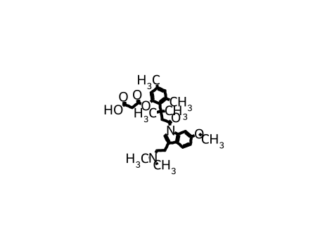 COc1ccc2c(CCN(C)C)cn(C(=O)CC(C)(C)c3c(C)cc(C)cc3OC(=O)CC(=O)O)c2c1